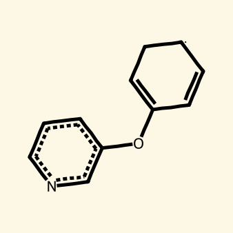 [CH]1C=CC(Oc2cccnc2)=CC1